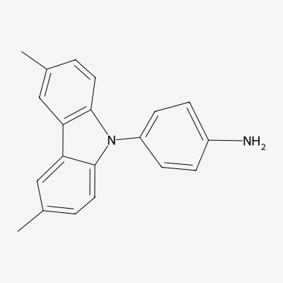 Cc1ccc2c(c1)c1cc(C)ccc1n2-c1ccc(N)cc1